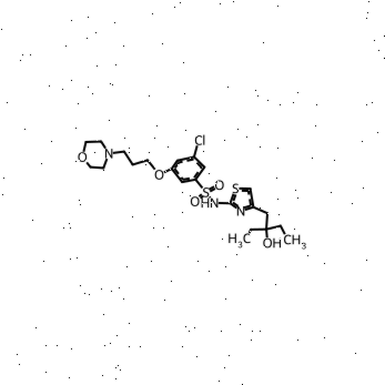 CCC(O)(CC)Cc1csc(NS(=O)(=O)c2cc(Cl)cc(OCCCN3CCOCC3)c2)n1